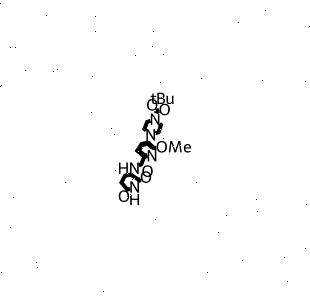 COc1nc(C(=O)NC2CCC(=O)NC2=O)ccc1N1CCN(C(=O)OC(C)(C)C)CC1